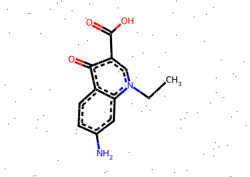 CCn1cc(C(=O)O)c(=O)c2ccc(N)cc21